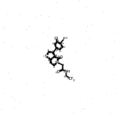 O=C(Cn1ccc2scc(-c3ccc(F)c(Cl)c3)c2c1=O)NCC(F)(F)F